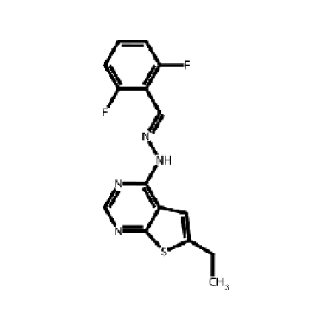 CCc1cc2c(NN=Cc3c(F)cccc3F)ncnc2s1